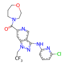 O=C(c1cc2c(cn1)c(Nc1cccc(Cl)n1)nn2CC(F)(F)F)N1CCCOCC1